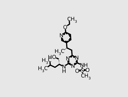 CCOc1ccc([C@@H](C)Cc2nc(N[C@@H](CO)CC(C)C)nc(NS(C)(=O)=O)n2)cn1